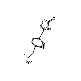 CCCCNCc1ccc(-c2noc(=O)[nH]2)cc1